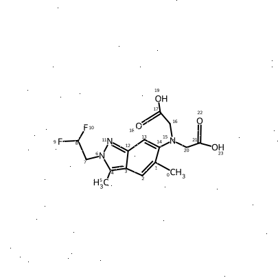 Cc1cc2c(C)n(CC(F)F)nc2cc1N(CC(=O)O)CC(=O)O